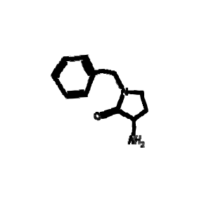 NC1CCN(Cc2ccccc2)C1=O